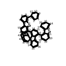 c1ccc(-c2cccc3c2sc2c(-c4ccc(-c5cccc6sc7ccccc7c56)c5c4C4(c6ccccc6-5)C5CC6CC(C5)CC4C6)cccc23)cc1